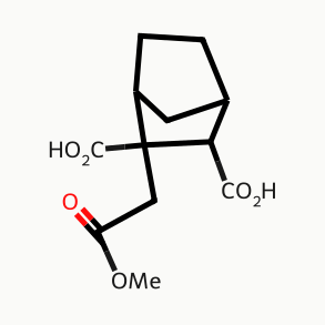 COC(=O)CC1(C(=O)O)C2CCC(C2)C1C(=O)O